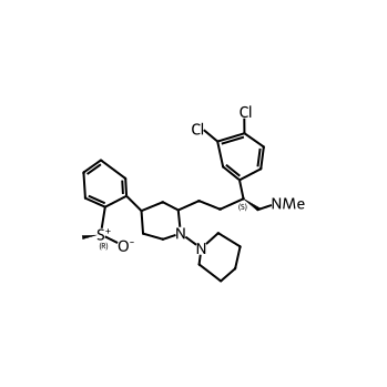 CNC[C@@H](CCC1CC(c2ccccc2[S@+](C)[O-])CCN1N1CCCCC1)c1ccc(Cl)c(Cl)c1